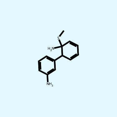 CSC1(N)C=CC=CC1c1cccc(N)c1